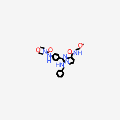 COCCNC(=O)c1cccn2c(NCc3ccccc3)c(-c3ccc(NC(=O)N4CCOCC4)cc3)nc12